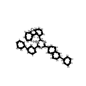 c1ccc(-c2cccc(C3=NC(c4ccc5cc(-c6ccccc6)ccc5c4)=NC(c4cccc5oc6ccccc6c45)N3)c2)cc1